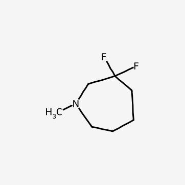 CN1CCCCC(F)(F)C1